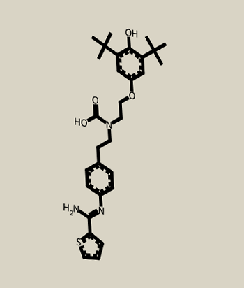 CC(C)(C)c1cc(OCCN(CCc2ccc(/N=C(\N)c3cccs3)cc2)C(=O)O)cc(C(C)(C)C)c1O